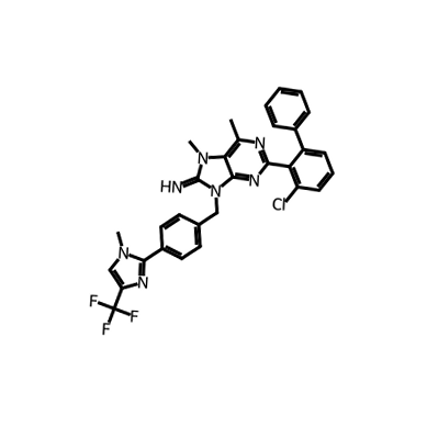 Cc1nc(-c2c(Cl)cccc2-c2ccccc2)nc2c1n(C)c(=N)n2Cc1ccc(-c2nc(C(F)(F)F)cn2C)cc1